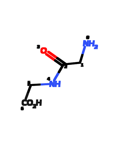 NCC(=O)N[CH]C(=O)O